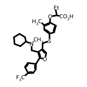 CCC(Oc1ccc(SCc2coc(-c3ccc(C(F)(F)F)cc3)c2CN(C)C2CCCCC2)cc1C)C(=O)O